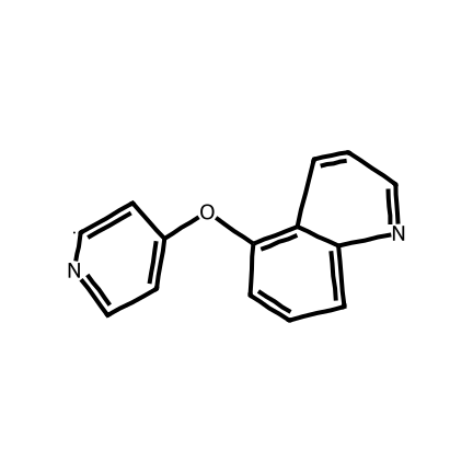 [c]1cc(Oc2cccc3ncccc23)ccn1